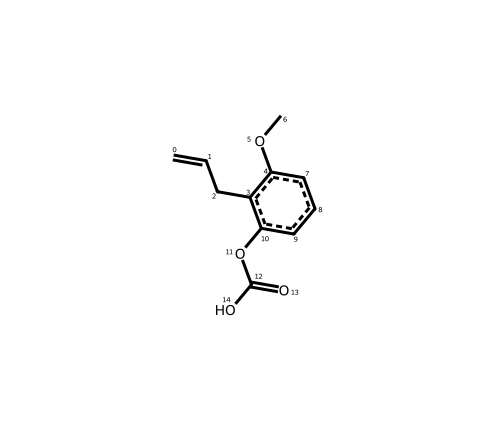 C=CCc1c(OC)cccc1OC(=O)O